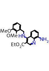 CCOC(=O)c1cnc2c(N)cccc2c1NCc1cccc(OC)c1OC